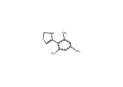 Cc1cc(C)c(C2=CSCN2)c(C)c1